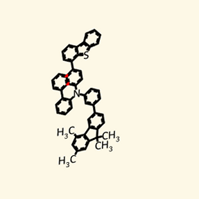 Cc1cc(C)c2c(c1)C(C)(C)c1ccc(-c3cccc(N(c4ccc(-c5cccc6c5sc5ccccc56)cc4)c4ccccc4-c4ccccc4)c3)cc1-2